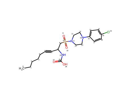 CCCCCC#CC(CS(=O)(=O)N1CCN(c2ccc(Cl)cc2)CC1)NC(=O)O